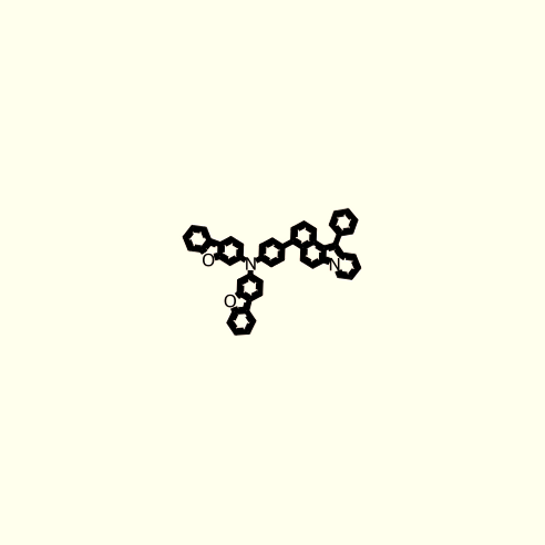 c1ccc(-c2c3c4cccc(-c5ccc(N(c6ccc7c(c6)oc6ccccc67)c6ccc7c(c6)oc6ccccc67)cc5)c4ccc3n3ccccc23)cc1